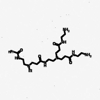 CCCC(=O)NCCN(CC)CCC(=O)NCCN(CCC(=O)NCCN)CCC(=O)NCCN